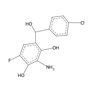 Nc1c(O)c(F)cc(C(O)c2ccc(Cl)cc2)c1O